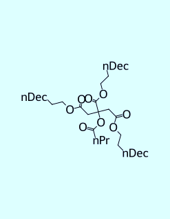 CCCCCCCCCCCCOC(=O)CC(CC(=O)OCCCCCCCCCCCC)(OC(=O)CCC)C(=O)OCCCCCCCCCCCC